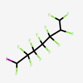 FC(F)C(F)C(F)(F)C(F)(F)C(F)(F)C(F)(F)C(F)I